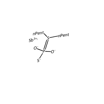 CCCCCS(CCCCC)=P([O-])([O-])[S-].[Sb+3]